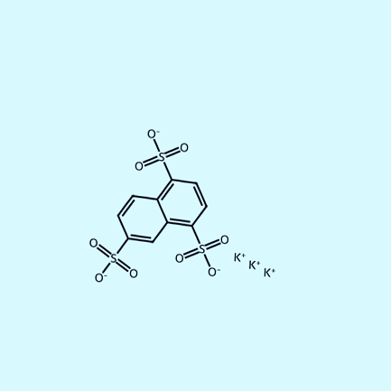 O=S(=O)([O-])c1ccc2c(S(=O)(=O)[O-])ccc(S(=O)(=O)[O-])c2c1.[K+].[K+].[K+]